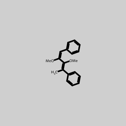 COC(=Cc1ccccc1)C(OC)=C(C)c1ccccc1